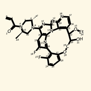 C=CC(=O)N1C[C@H](C)N(c2nc(=O)n3c4nc(c(F)cc24)-c2c(F)cccc2OCC(O)C(OCC)c2ccnc(C(C)C)c2-3)C[C@H]1C